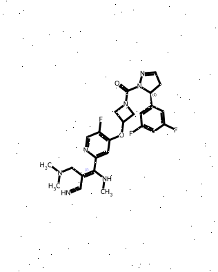 CN/C(=C(\C=N)CN(C)C)c1cc(OC2CN(C(=O)N3N=CC[C@H]3c3cc(F)cc(F)c3)C2)c(F)cn1